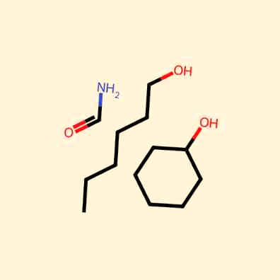 CCCCCCO.NC=O.OC1CCCCC1